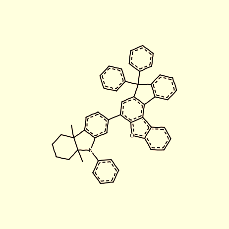 CC12CCCCC1(C)N(c1ccccc1)c1cc(-c3cc4c(c5c3oc3ccccc35)-c3ccccc3C4(c3ccccc3)c3ccccc3)ccc12